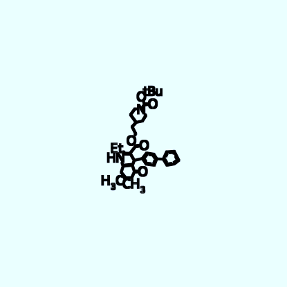 CCC1=C(C(=O)OCCC2CCN(C(=O)OC(C)(C)C)CC2)C(c2ccc(-c3ccccc3)cc2)C2=C(CC(C)(C)CC2=O)N1